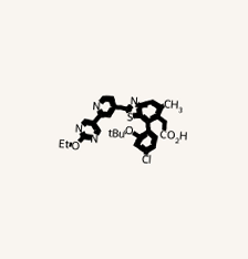 CCOc1ncc(-c2cc(-c3nc4cc(C)c(CC(=O)O)c(-c5ccc(Cl)cc5OC(C)(C)C)c4s3)ccn2)cn1